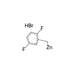 Br.Fc1ccc(F)c([CH2][Zn])c1